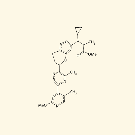 COC(=O)C(C)C(c1ccc2c(c1)OC(c1ncc(-c3cc(OC)ncc3C)nc1C)CC2)C1CC1